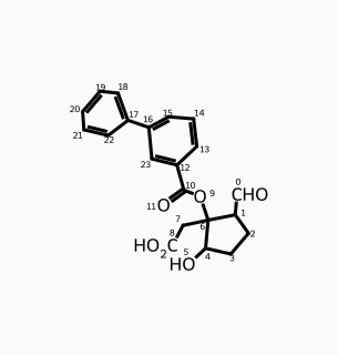 O=CC1CCC(O)C1(CC(=O)O)OC(=O)c1cccc(-c2ccccc2)c1